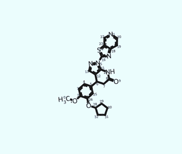 COc1ccc(C2CC(=O)Nc3c2cnn3-c2nc3ccncc3s2)cc1OC1CCCC1